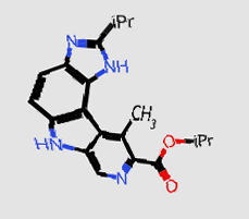 Cc1c(C(=O)OC(C)C)ncc2[nH]c3ccc4nc(C(C)C)[nH]c4c3c12